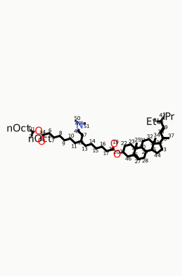 CCCCCCCCC(CCCCCCCC)OC(=O)CCCCCCC(CCCCCC(=O)OC1CCC2(C)C(=CCC3C2CCC2(C)C(C(C)/C=C/C(CC)C(C)C)CCC32)C1)CCN(C)C